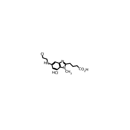 Cl.Cn1c(CCCC(=O)O)nc2cc(NCCCl)ccc21